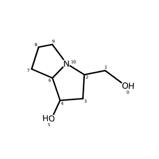 OCC1CC(O)C2CCCN12